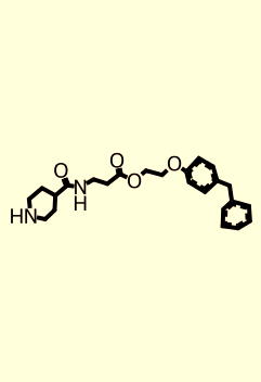 O=C(CCNC(=O)C1CCNCC1)OCCOc1ccc(Cc2ccccc2)cc1